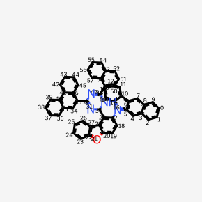 c1ccc2cc3c(cc2c1)c1ccccc1n3-c1ccc2oc3ccccc3c2c1C1N=C(c2cc3ccccc3c3ccccc23)N=C(c2cccc3ccccc23)N1